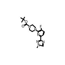 Cn1cnc(-c2ccc(F)c(N3CCN(C(=O)OC(C)(C)C)CC3)n2)n1